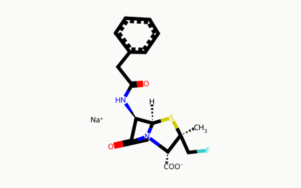 C[C@@]1(CF)S[C@@H]2[C@H](NC(=O)Cc3ccccc3)C(=O)N2[C@H]1C(=O)[O-].[Na+]